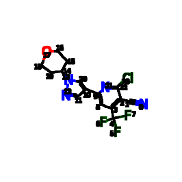 N#Cc1c(C(F)(F)F)cc(-c2cnn(C3CCOCC3)c2)nc1Cl